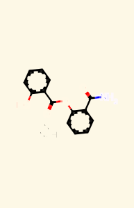 NC(=O)c1ccccc1OC(=O)c1ccccc1O.[NaH].[NaH]